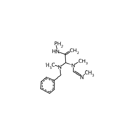 C=C(NP)C(N(C)/C=N\C)N(C)Cc1ccccc1